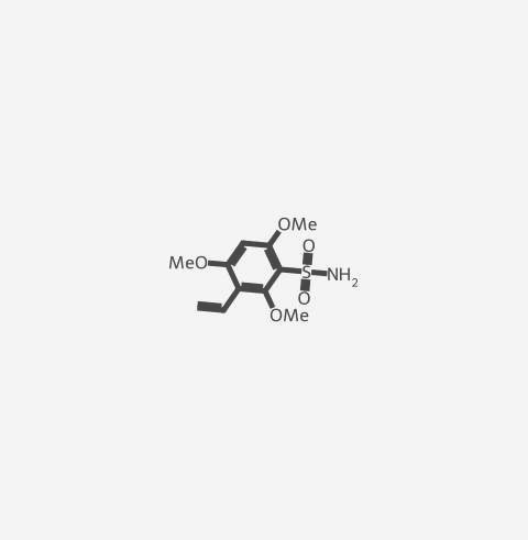 C=Cc1c(OC)cc(OC)c(S(N)(=O)=O)c1OC